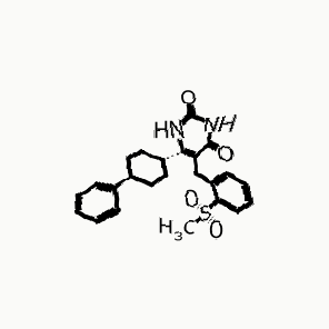 CS(=O)(=O)c1ccccc1Cc1c(=O)[nH]c(=O)[nH]c1[C@H]1CC[C@H](c2ccccc2)CC1